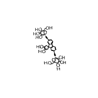 OC[C@H]1O[C@H](C#Cc2ccc3c(c2)C2(C[C@@H](O)[C@@H](O)C2)c2cc(C#C[C@H]4O[C@H](CO)[C@@H](O)[C@H](O)[C@@H]4O)ccc2-3)[C@@H](O)[C@@H](O)[C@@H]1O